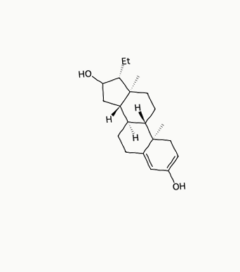 CC[C@H]1C(O)C[C@H]2[C@@H]3CCC4=CC(O)=CC[C@]4(C)[C@H]3CC[C@]12C